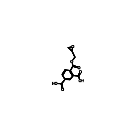 O=C(O)c1ccc(C(=O)OCC2CO2)c(C(=O)O)c1